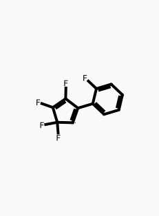 FC1=C(F)C(F)(F)[C]=C1c1ccccc1F